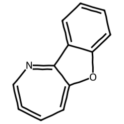 C1=CC=c2oc3ccccc3c2=NC=1